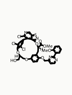 COC(=O)[C@@H]1Cc2cc(ccc2OCc2ccnc(-c3ccccc3OC)n2)OC[C@@H](CO)Oc2c(Cl)cc(cc2Cl)-c2c(Cl)ncc3snc(c23)O1